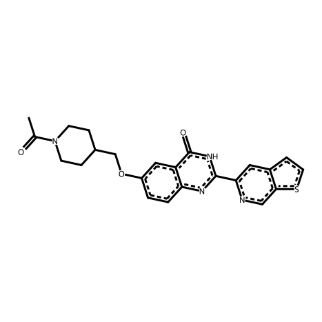 CC(=O)N1CCC(COc2ccc3nc(-c4cc5ccsc5cn4)[nH]c(=O)c3c2)CC1